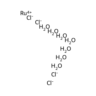 O.O.O.O.O.O.O.[Cl-].[Cl-].[Cl-].[Cl-].[Ru+4]